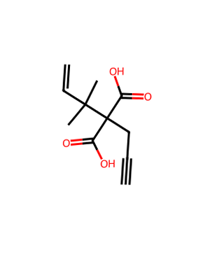 C#CCC(C(=O)O)(C(=O)O)C(C)(C)C=C